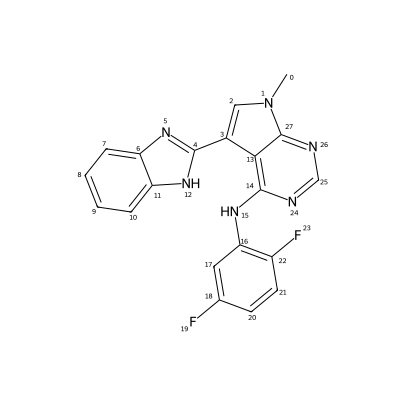 Cn1cc(-c2nc3ccccc3[nH]2)c2c(Nc3cc(F)ccc3F)ncnc21